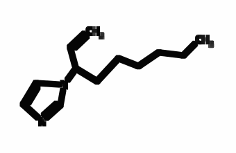 C=CC(CCCCCC)n1ccnc1